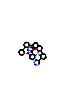 O=C1c2c(cccc2-n2c3c(-c4cncnc4)cccc3c3cccc(-c4cncnc4)c32)C(O)N1c1c(-c2ccccc2)cccc1-c1ccccc1